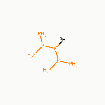 [3H]P(P(P)P)P(P)P